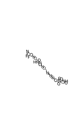 N#Cc1ccc(N2CCC(C(=O)Nc3ccc(N4CCC(CCN5CC(N6CCN(c7ccc8c(c7)C(=O)N(C7CCC(=O)NC7=O)C8=O)CC6)C5)CC4)cn3)CC2)cc1C(F)(F)F